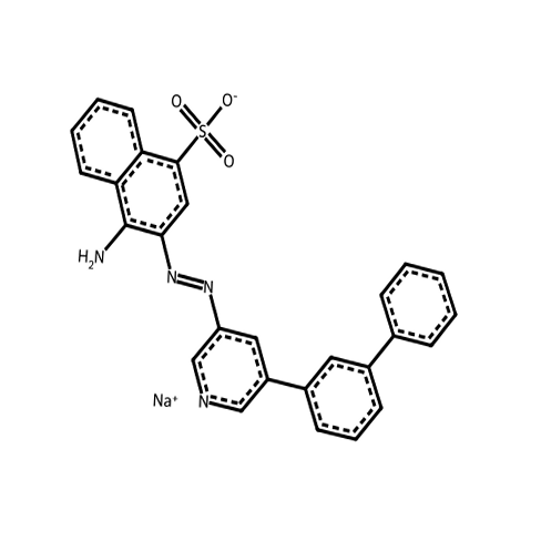 Nc1c(N=Nc2cncc(-c3cccc(-c4ccccc4)c3)c2)cc(S(=O)(=O)[O-])c2ccccc12.[Na+]